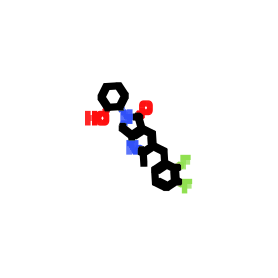 Cc1nc2c(cc1Cc1cccc(F)c1F)C(=O)N([C@H]1CCCC[C@@H]1O)C2